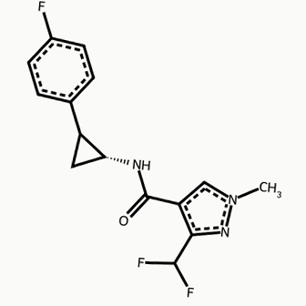 Cn1cc(C(=O)N[C@@H]2CC2c2ccc(F)cc2)c(C(F)F)n1